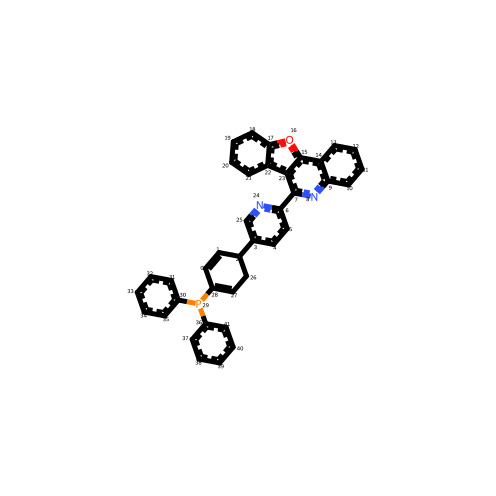 C1=CC(c2ccc(-c3nc4ccccc4c4oc5ccccc5c34)nc2)CC=C1P(c1ccccc1)c1ccccc1